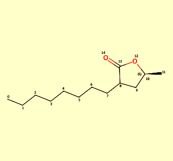 CCCCCCCCC1C[C@H](C)OC1=O